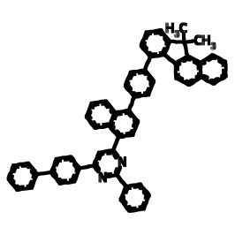 CC1(C)c2cccc(-c3ccc(-c4ccc(-c5cc(-c6ccc(-c7ccccc7)cc6)nc(-c6ccccc6)n5)c5ccccc45)cc3)c2-c2ccc3ccccc3c21